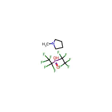 CN1CCCC1.O=P(O)(C(F)(F)C(F)(F)F)C(F)(F)C(F)(F)F